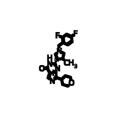 CC1CN(Cc2ccc(F)cc2F)C[C@H]1c1nn2c(C3CCOCC3)ncc2c(=O)[nH]1